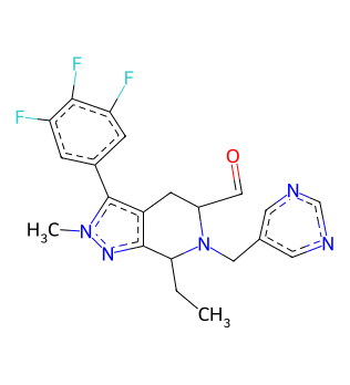 CCC1c2nn(C)c(-c3cc(F)c(F)c(F)c3)c2CC(C=O)N1Cc1cncnc1